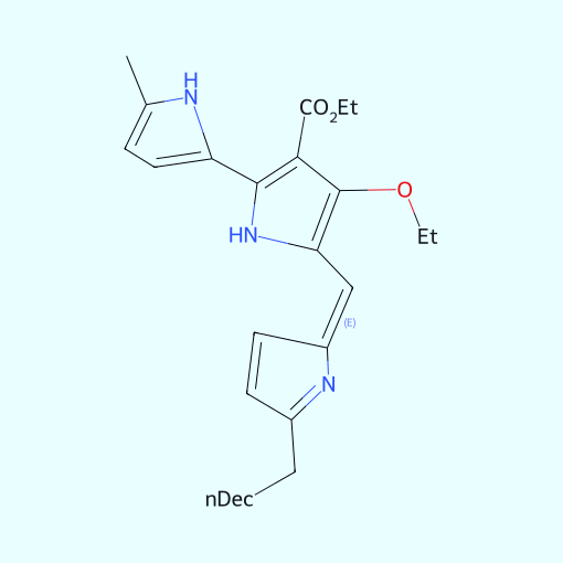 CCCCCCCCCCCC1=N/C(=C/c2[nH]c(-c3ccc(C)[nH]3)c(C(=O)OCC)c2OCC)C=C1